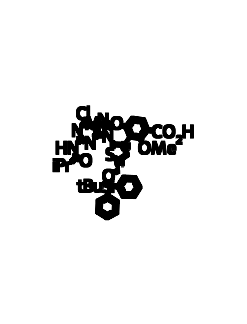 COc1ccc(C(=O)O)c(OC)c1[C@H]1C[C@@H](CO[Si](c2ccccc2)(c2ccccc2)C(C)(C)C)SC1n1cnc2c(Cl)nc(NC(=O)C(C)C)nc21